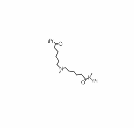 CC(C)C(=O)CCCCCN(C)CCCCCC(=O)N(C)C(C)C